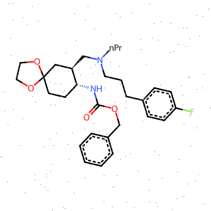 CCCN(CCCc1ccc(F)cc1)C[C@@H]1CC2(CC[C@H]1NC(=O)OCc1ccccc1)OCCO2